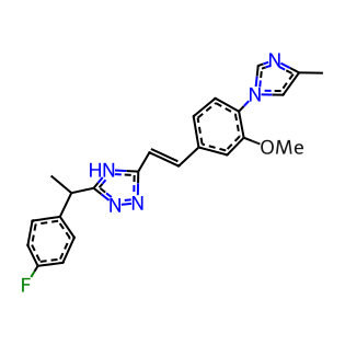 COc1cc(C=Cc2nnc(C(C)c3ccc(F)cc3)[nH]2)ccc1-n1cnc(C)c1